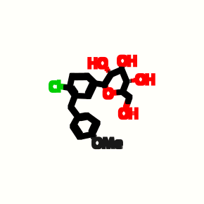 COc1ccc(Cc2cc(C3OC(CO)[C@@H](O)C(O)[C@H]3O)ccc2Cl)cc1